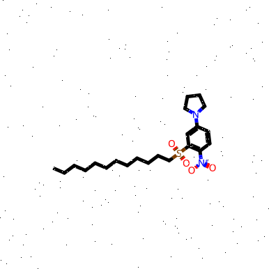 CCCCCCCCCCCCS(=O)(=O)c1cc(N2CCCC2)ccc1[N+](=O)[O-]